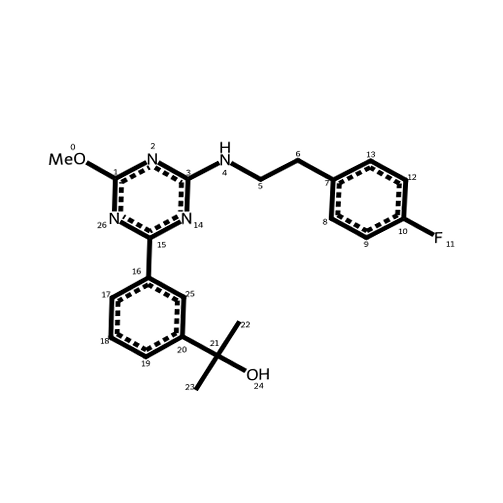 COc1nc(NCCc2ccc(F)cc2)nc(-c2cccc(C(C)(C)O)c2)n1